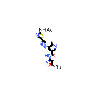 CC(=O)Nc1ncc(-c2cn(-c3cc(C(=O)Nc4cc(C(C)(C)C)on4)cnc3C)nn2)s1